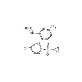 O=C(O)Nc1cc(C(F)(F)F)ccn1.O=S(=O)(c1ccc(Cl)cc1)C1CC1